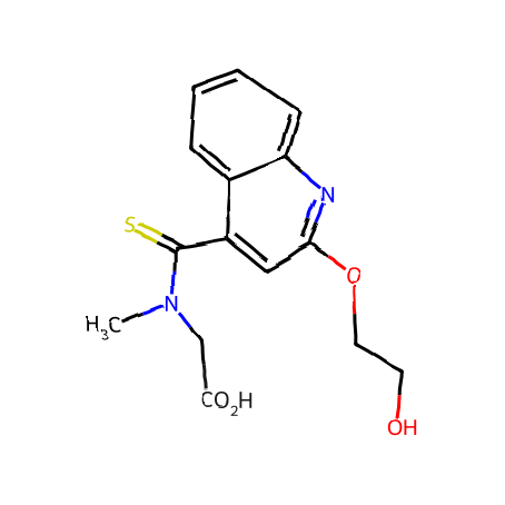 CN(CC(=O)O)C(=S)c1cc(OCCO)nc2ccccc12